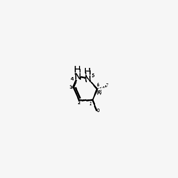 CC1C=CNN[C@@H]1C